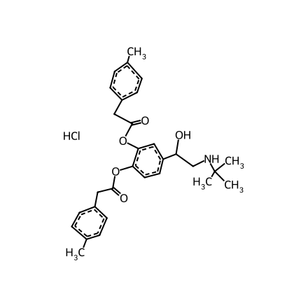 Cc1ccc(CC(=O)Oc2ccc(C(O)CNC(C)(C)C)cc2OC(=O)Cc2ccc(C)cc2)cc1.Cl